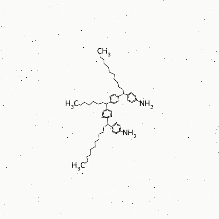 CCCCCCCCCCCC(c1ccc(N)cc1)c1ccc(C(CCCCCCC)c2ccc(C(CCCCCCCCCCC)c3ccc(N)cc3)cc2)cc1